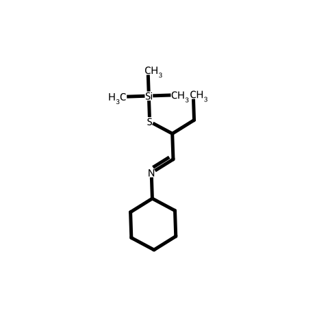 CCC(/C=N/C1CCCCC1)S[Si](C)(C)C